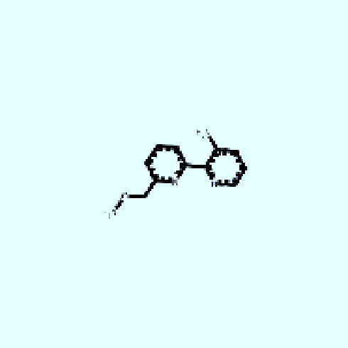 NOCc1cccc(-c2ncccc2N)n1